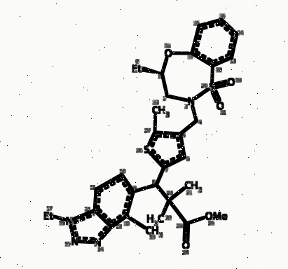 CC[C@@H]1CN(Cc2cc(C(c3ccc4c(nnn4CC)c3C)C(C)(C)C(=O)OC)sc2C)S(=O)(=O)c2ccccc2O1